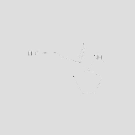 CCSC(=O)C1(N)CCCC1